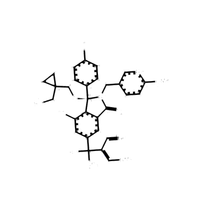 CN/C=C(\C=N)C(C)(O)c1cc(F)c2c(c1)C(=O)N(Cc1ccc(OC)nc1)[C@@]2(OCC1(CO)CC1)c1ccc(Cl)cc1